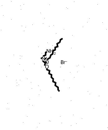 CCCCCCCCCCCCOCC(C[N+](C)(C)CCCN)OCCCCCCCCCCCC.[Br-]